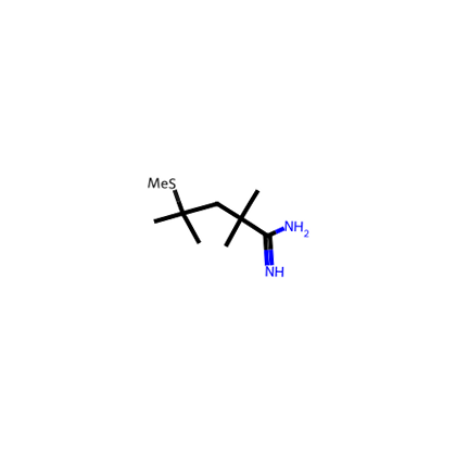 CSC(C)(C)CC(C)(C)C(=N)N